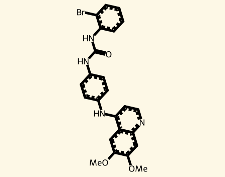 COc1cc2nccc(Nc3ccc(NC(=O)Nc4ccccc4Br)cc3)c2cc1OC